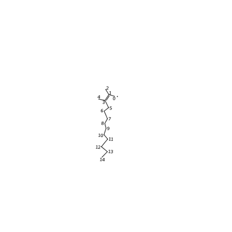 [CH2]C(C)=C(C)CCCCCCCCCC